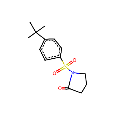 CC(C)(C)c1ccc(S(=O)(=O)N2CCCC2=O)cc1